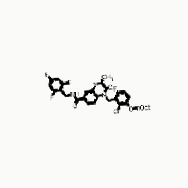 CCCCCCCCOc1ccc(F)c(CN2C(=O)C(C)Sc3cc(C(=O)NCc4c(F)cc(F)cc4F)ccc32)c1Cl